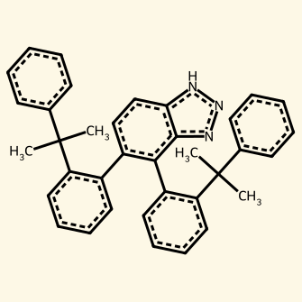 CC(C)(c1ccccc1)c1ccccc1-c1ccc2[nH]nnc2c1-c1ccccc1C(C)(C)c1ccccc1